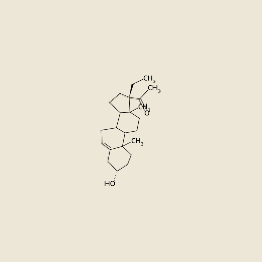 CC[C@]1(C(C)=O)CCC2C3CC=C4C[C@@H](O)CCC4(C)C3CCC21C